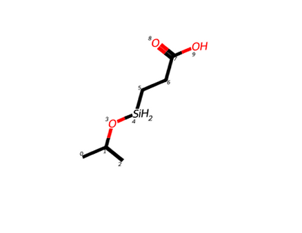 CC(C)O[SiH2]CCC(=O)O